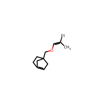 CCC(C)=COCC12CC=C(CC1)C2